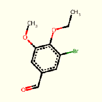 CCOc1c(Br)cc(C=O)cc1OC